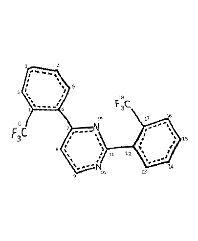 FC(F)(F)c1ccccc1-c1ccnc(-c2ccccc2C(F)(F)F)n1